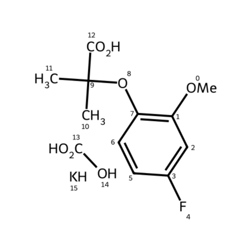 COc1cc(F)ccc1OC(C)(C)C(=O)O.O=C(O)O.[KH]